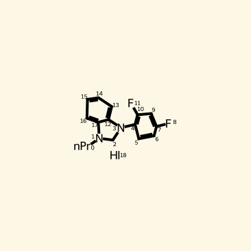 CCCN1CN(c2ccc(F)cc2F)c2ccccc21.I